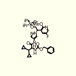 COc1ncc(F)cc1C(CO[Si](C(C)C)(C(C)C)C(C)C)n1cc(NC(=O)[C@@H](NC(=O)OCc2ccccc2)C(C2CC2)C2CC2)cn1